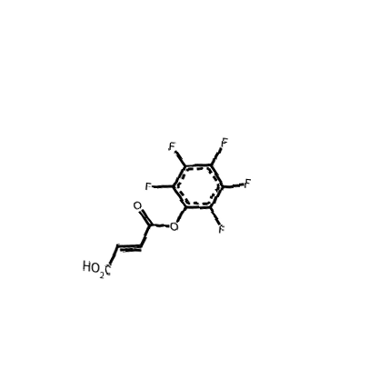 O=C(O)C=CC(=O)Oc1c(F)c(F)c(F)c(F)c1F